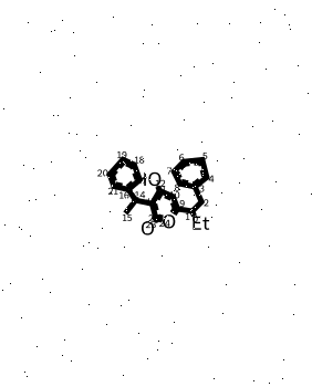 CCC(Cc1ccccc1)c1cc(O)c(C(C)c2ccccc2)c(=O)o1